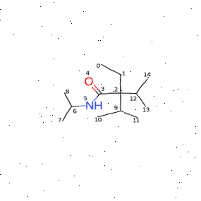 CCC(C(=O)NC(C)C)(C(C)C)C(C)C